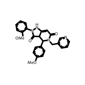 COc1ccc(C2C3C(=O)N(c4ccccc4OC)NC3=CC(=O)N2Cc2cccnc2)cc1